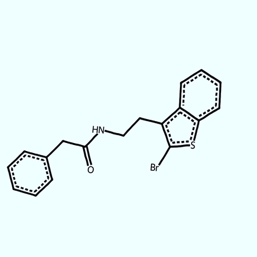 O=C(Cc1ccccc1)NCCc1c(Br)sc2ccccc12